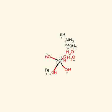 O.O.O[Si](O)(O)O.[AlH3].[Fe].[KH].[MgH2]